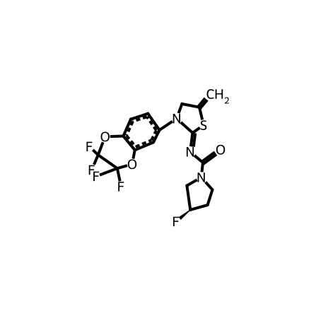 C=C1CN(c2ccc3c(c2)OC(F)(F)C(F)(F)O3)C(=NC(=O)N2CC[C@@H](F)C2)S1